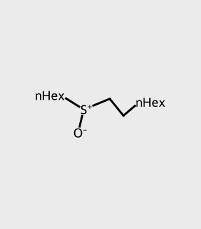 [CH2]CCCCCCC[S+]([O-])CCCCCC